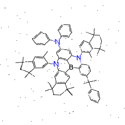 Cc1cc2c(cc1N1c3cc4c(cc3B3c5cc(C(C)(C)c6ccccc6)ccc5N(c5ccc6c(c5C)C(C)(C)CCC6(C)C)c5cc(N(c6ccccc6)c6ccccc6)cc1c53)C(C)(C)CCC4(C)C)C(C)(C)CC2(C)C